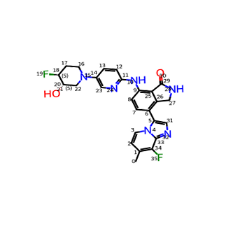 Cc1ccn2c(-c3ccc(Nc4ccc(N5CC[C@H](F)[C@@H](O)C5)cn4)c4c3CNC4=O)cnc2c1F